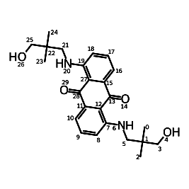 CC(C)(CO)CNc1cccc2c1C(=O)c1cccc(NCC(C)(C)CO)c1C2=O